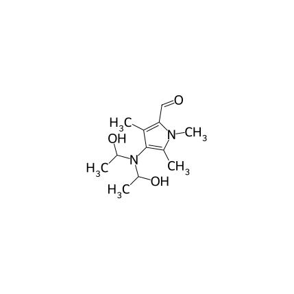 Cc1c(N(C(C)O)C(C)O)c(C)n(C)c1C=O